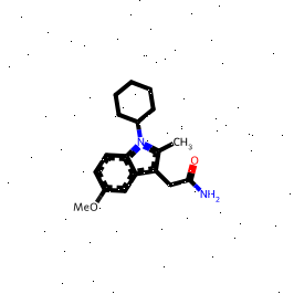 COc1ccc2c(c1)c(CC(N)=O)c(C)n2C1CCCCC1